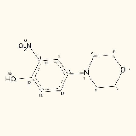 O=[N+]([O-])c1cc(N2CCOCC2)ccc1O